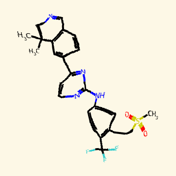 CC1(C)CN=Cc2ccc(-c3ccnc(Nc4ccc(C(F)(F)F)c(CS(C)(=O)=O)c4)n3)cc21